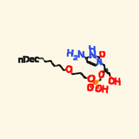 CCCCCCCCCCCCCCCCOCCCOP(=O)(O)CO[C@H](CO)CN1C=CC(N)NC1=O